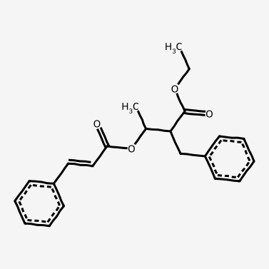 CCOC(=O)C(Cc1ccccc1)C(C)OC(=O)/C=C/c1ccccc1